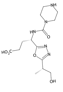 C[C@@H](CO)c1nnc([C@H](CCC(=O)O)NC(=O)N2CCNCC2)o1